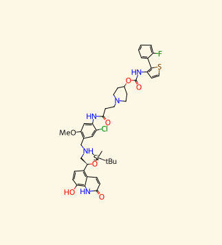 COc1cc(NC(=O)CCN2CCC(OC(=O)Nc3ccsc3-c3ccccc3F)CC2)c(Cl)cc1CNC[C@@H](O[Si](C)(C)C(C)(C)C)c1ccc(O)c2[nH]c(=O)ccc12